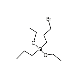 CCC[Si](CCCBr)(OCC)OCC